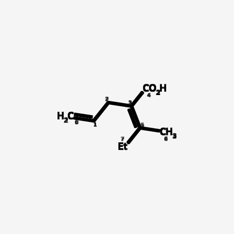 C=CCC(C(=O)O)=C(C)CC